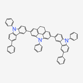 c1ccc(-c2ccc3c(c2)c2cc(-c4cc5c6c7c(cc(-c8ccc9c(c8)c8cc(-c%10ccccc%10)ccc8n9-c8ccccc8)cc7n(-c7ccccc7)c6c4)CC5)ccc2n3-c2ccccc2)cc1